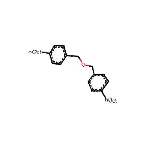 CCCCCCCCc1ccc(COCc2ccc(CCCCCCCC)cc2)cc1